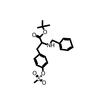 CC(C)(C)OC(=O)C(Cc1ccc(OS(C)(=O)=O)cc1)NCc1ccccc1